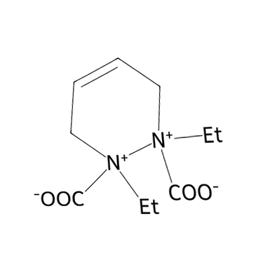 CC[N+]1(C(=O)[O-])CC=CC[N+]1(CC)C(=O)[O-]